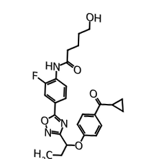 CCC(Oc1ccc(C(=O)C2CC2)cc1)c1noc(-c2ccc(NC(=O)CCCCO)c(F)c2)n1